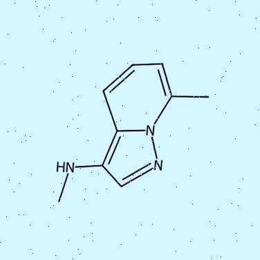 CNc1cnn2c(C)cccc12